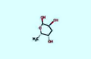 C[C@@H]1O[C@@H](O)[C@@H](O)C[C@@H]1O